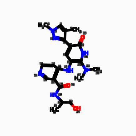 Cc1cn(C)nc1-c1cc(Nc2ccncc2C(=O)NC(C)CO)c(N(C)C)[nH]c1=O